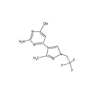 Cc1nn(CC(F)(F)F)cc1-c1cc(O)nc(N)n1